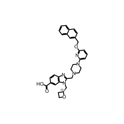 O=C(O)c1ccc2nc(CN3CCN(c4cccc(OCc5ccc6ccccc6c5)n4)CC3)n(C[C@@H]3CCO3)c2c1